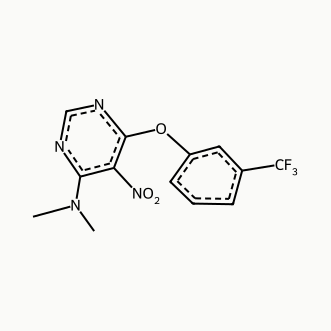 CN(C)c1ncnc(Oc2cccc(C(F)(F)F)c2)c1[N+](=O)[O-]